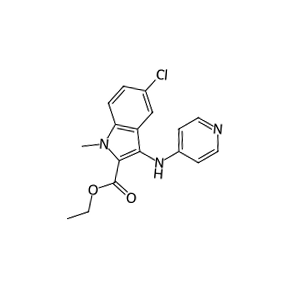 CCOC(=O)c1c(Nc2ccncc2)c2cc(Cl)ccc2n1C